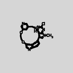 Cn1cc2c3c(nc(Cl)nc31)NCc1cncc(c1)OCCOc1cnc3ccc-2cc3c1